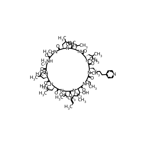 C/C=C/C[C@@H](C)[C@@H](O)[C@@H]1C(=O)N[C@H](CC)C(=O)N(C)[C@H](CSCCc2ccncc2)C(=O)N(C)[C@@H](CC(C)C)C(=O)N[C@H](C(C)C)C(=O)N(C)[C@H](CC(C)C)C(=O)N[C@H](C)C(=O)N[C@@H](C)C(=O)N(C)[C@H](CC(C)C)C(=O)N(C)[C@H](CC(C)C)C(=O)N(C)[C@H](C(C)C)C(=O)N1C